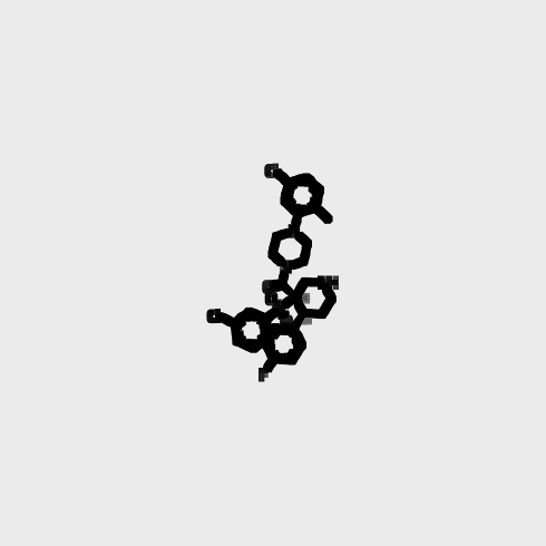 Cc1ccc(Cl)cc1N1CCN(C(=O)[C@@]2(S(=O)(=O)c3cccc(Cl)c3)CNCC[C@H]2c2ccc(F)cc2)CC1